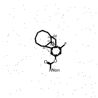 CCCCCCCCCC(=O)Oc1cc(F)c2c(c1)[C@@]1(C)CCCCCC[C@@H](C2)[C@@H]1N